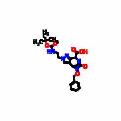 CC(C)(C)OC(=O)NCCn1cc2c(n1)C(C(=O)O)N1CC2N(OCc2ccccc2)C1=O